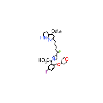 COc1cc(CCCC[C@@H](F)C2CCN([C@@H](C(=O)O)c3cc(I)ccc3COC3CCOCC3)C2)nc2c1CCCN2